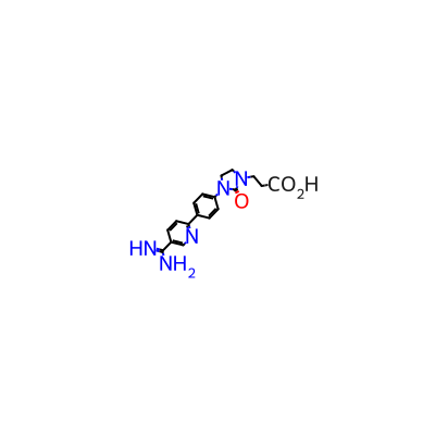 N=C(N)c1ccc(-c2ccc(N3CCN(CCC(=O)O)C3=O)cc2)nc1